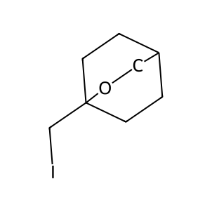 ICC12CCC(CC1)CO2